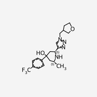 C[C@H]1CC(O)(c2ccc(C(F)(F)F)cc2)C[C@@H](c2cn(CC3CCOC3)nn2)N1